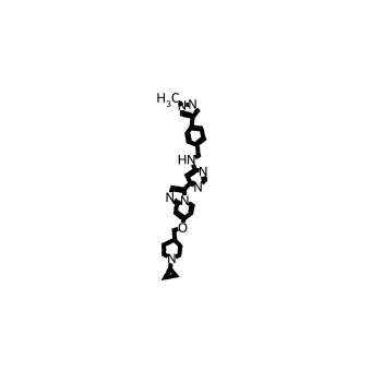 Cn1cc(-c2ccc(CNc3cc(-c4cnc5cc(OCC6CCN(C7CC7)CC6)ccn45)ncn3)cc2)cn1